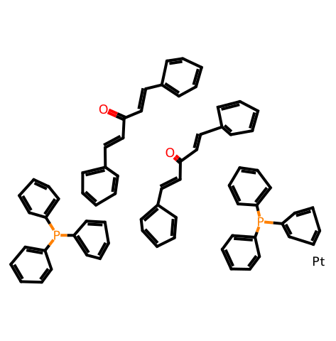 O=C(C=Cc1ccccc1)C=Cc1ccccc1.O=C(C=Cc1ccccc1)C=Cc1ccccc1.[Pt].c1ccc(P(c2ccccc2)c2ccccc2)cc1.c1ccc(P(c2ccccc2)c2ccccc2)cc1